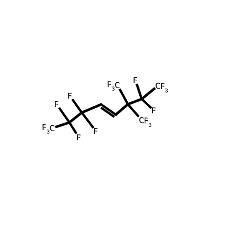 FC(F)(F)C(F)(F)C(F)(F)C=CC(C(F)(F)F)(C(F)(F)F)C(F)(F)C(F)(F)F